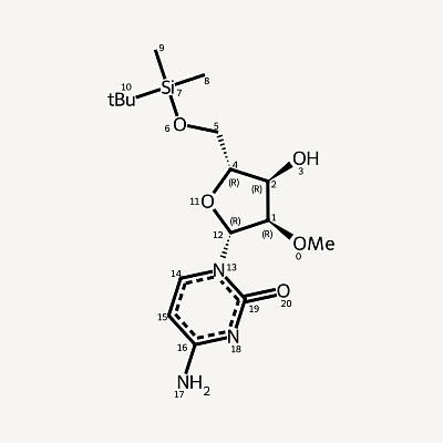 CO[C@@H]1[C@H](O)[C@@H](CO[Si](C)(C)C(C)(C)C)O[C@H]1n1ccc(N)nc1=O